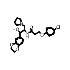 O=C(CCOc1ccc(Cl)cc1)N[C@H](CN1CCCC1)C(O)c1ccc2c(c1)OCCO2